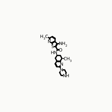 Cc1ccc2c(N)c(C(=O)N[C@@H]3Cc4ccc(N5CCNCC5)nc4[C@H](C)C3)sc2n1